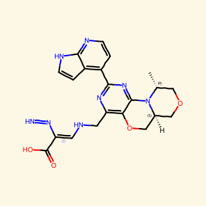 C[C@@H]1COC[C@H]2COc3c(CN/C=C(\N=N)C(=O)O)nc(-c4ccnc5[nH]ccc45)nc3N21